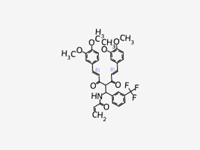 C=CC(=O)NC(c1cccc(C(F)(F)F)c1)C(C(=O)/C=C/c1ccc(OC)c(OC)c1)C(=O)/C=C/c1ccc(OC)c(OC)c1